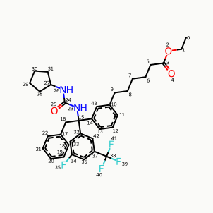 CCOC(=O)CCCCCc1cccc(C(Cc2ccccc2)(NC(=O)NC2CCCC2)c2cc(F)cc(C(F)(F)F)c2)c1